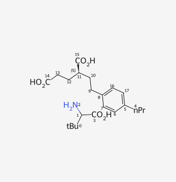 CC(C)(C)C(N)C(=O)O.CCCc1ccc(CC[C@@H](CCC(=O)O)C(=O)O)cc1